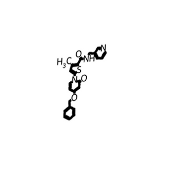 Cc1cc(-n2ccc(OCc3ccccc3)cc2=O)sc1C(=O)NCc1cccnc1